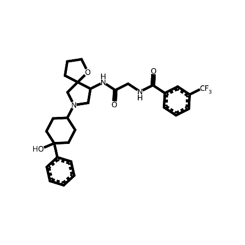 O=C(CNC(=O)c1cccc(C(F)(F)F)c1)NC1CN(C2CCC(O)(c3ccccc3)CC2)CC12CCCO2